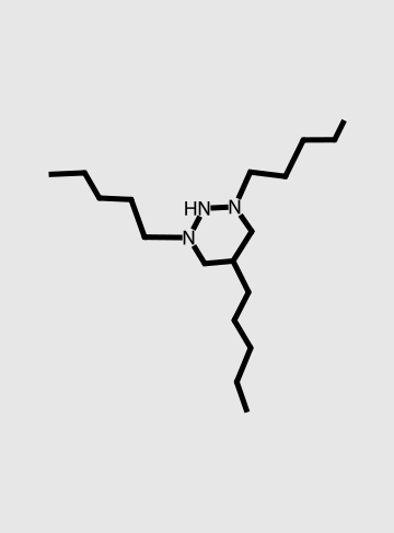 CCCCCC1CN(CCCCC)NN(CCCCC)C1